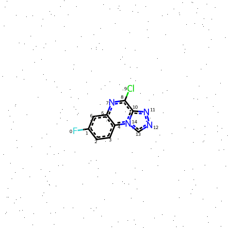 Fc1ccc2c(c1)nc(Cl)c1nncn12